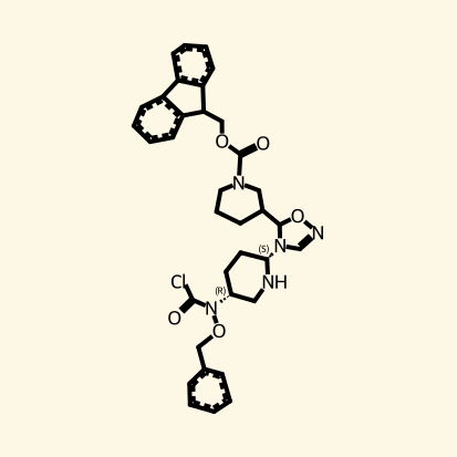 O=C(OCC1c2ccccc2-c2ccccc21)N1CCCC(C2ON=CN2[C@H]2CC[C@@H](N(OCc3ccccc3)C(=O)Cl)CN2)C1